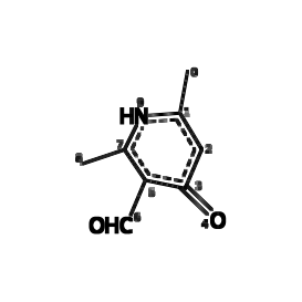 Cc1cc(=O)c(C=O)c(C)[nH]1